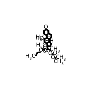 CCCCOC(=O)O[C@]1(C(=O)COC(=O)OC(C)C)[C@H](C)C[C@H]2[C@@H]3CCC4=CC(=O)C=C[C@]4(C)[C@@]3(F)[C@@H](O)C[C@@]21C